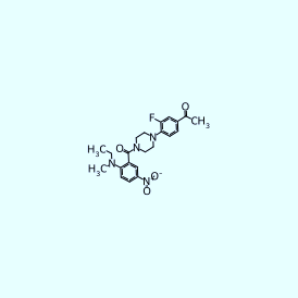 CCN(C)c1ccc([N+](=O)[O-])cc1C(=O)N1CCN(c2ccc(C(C)=O)cc2F)CC1